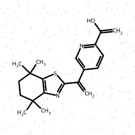 C=C(O)c1ccc(C(=C)c2nc3c(s2)C(C)(C)CCC3(C)C)cn1